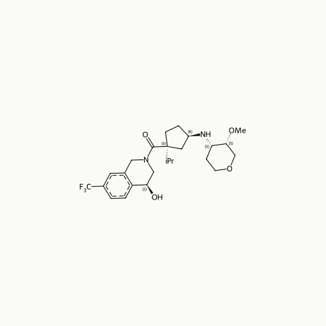 CO[C@@H]1COCC[C@@H]1N[C@@H]1CC[C@@](C(=O)N2Cc3cc(C(F)(F)F)ccc3[C@H](O)C2)(C(C)C)C1